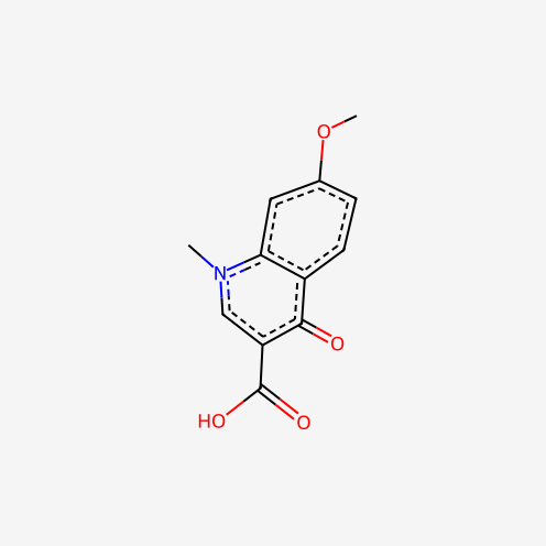 COc1ccc2c(=O)c(C(=O)O)cn(C)c2c1